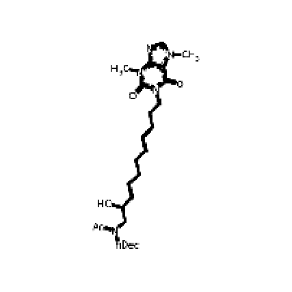 CCCCCCCCCCN(CC(O)CCCCCCCCCn1c(=O)c2c(ncn2C)n(C)c1=O)C(C)=O